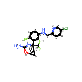 NC1=N[C@@](c2cc(NCc3ccc(Cl)cn3)ccc2F)(C(F)F)C2C[C@H]2O1